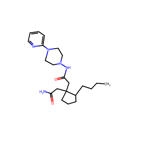 CCCCC1CCCC1(CC(N)=O)CC(=O)NN1CCN(c2ccccn2)CC1